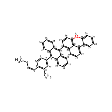 CC/C=C\c1ccc(-c2c3ccccc3c(-c3ccc4c5c(cccc35)-c3ccccc3O4)c3ccccc23)cc1C